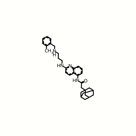 Cc1ccccc1CNCCCNc1ccc2c(NC(=O)CC34CC5CC(CC(C5)C3)C4)cccc2n1